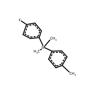 Cc1ccc([Si](C)(C)c2ccc(F)cc2)cc1